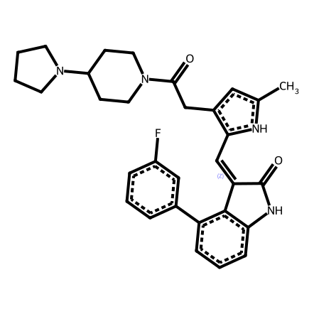 Cc1cc(CC(=O)N2CCC(N3CCCC3)CC2)c(/C=C2\C(=O)Nc3cccc(-c4cccc(F)c4)c32)[nH]1